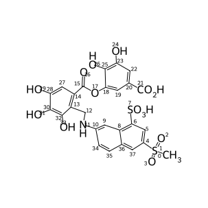 CS(=O)(=O)c1cc(S(=O)(=O)O)c2cc(NCc3c(C(=O)Oc4cc(C(=O)O)cc(O)c4O)cc(O)c(O)c3O)ccc2c1